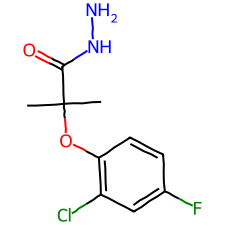 CC(C)(Oc1ccc(F)cc1Cl)C(=O)NN